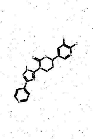 O=C1OC(c2cnc(Cl)c(F)c2)CCN1c1nc(-c2ccncc2)n[nH]1